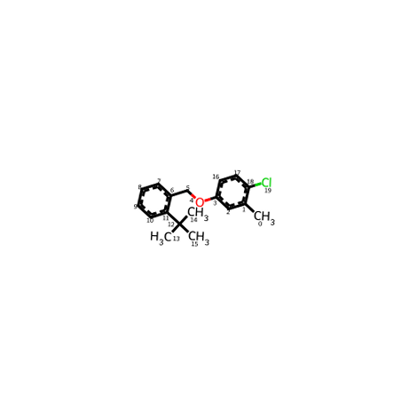 Cc1cc(OCc2ccccc2C(C)(C)C)ccc1Cl